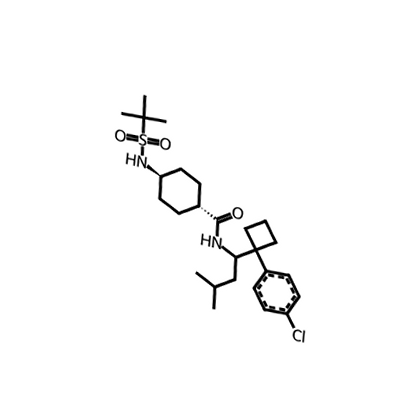 CC(C)CC(NC(=O)[C@H]1CC[C@H](NS(=O)(=O)C(C)(C)C)CC1)C1(c2ccc(Cl)cc2)CCC1